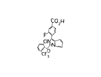 O=C(O)c1ccc(-c2nc(C(=O)c3c(Cl)cccc3C(F)(F)F)n3ccccc23)c(F)c1